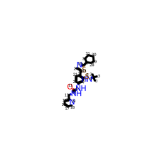 CC(C)(C)NSc1cc(NC(=O)NCc2ccccn2)ccc1-c1cnc(C2CCCCC2)s1